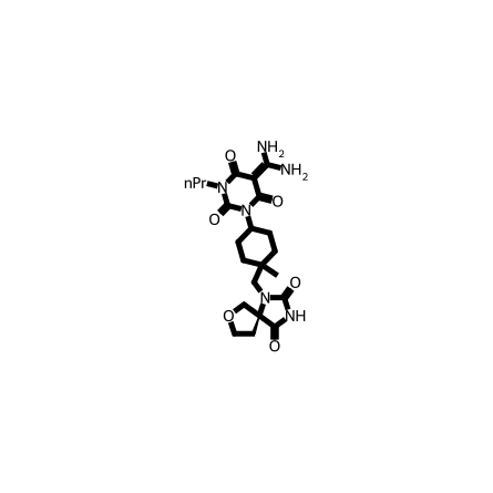 CCCN1C(=O)C(=C(N)N)C(=O)N(C2CCC(C)(CN3C(=O)NC(=O)[C@@]34CCOC4)CC2)C1=O